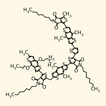 CCCCCCCCN1C(=O)c2c(C)sc(-c3cc4c(C)c5sc(-c6ccc(-c7sc(-c8cc9c(C)c%10sc(Cc%11sc(-c%12cc%13c(OCCC)c%14sc(C)cc%14c(OCCC)c%13s%12)c%12c%11C(=O)N(CCCCCCCC)C%12=O)cc%10c(C)c9s8)c8c7C(=O)N(CCCCCCCC)C8=O)s6)cc5c(C)c4s3)c2C1=O